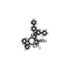 C=C1CC2C(CCc3nc4c(cc3-c3cc(C(C)(C)C)cc[n+]31)c1cc(-c3ccccc3)cc3c5cc(-c6ccccc6)ccc5n4c31)c1ccccc1-c1cccc[n+]12